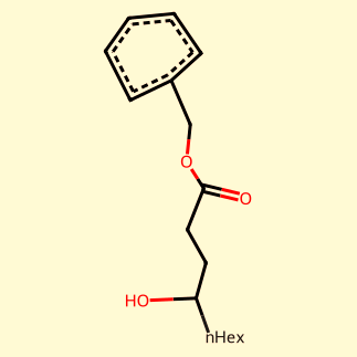 CCCCCCC(O)CCC(=O)OCc1ccccc1